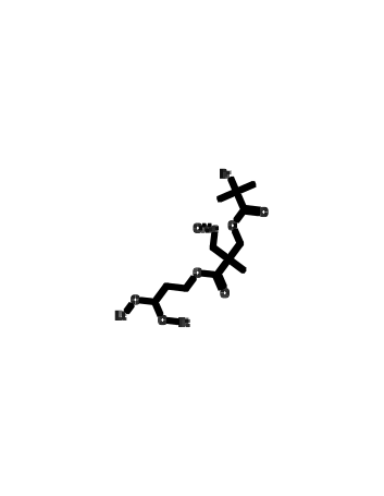 CCOC(CCOC(=O)C(C)(COC)COC(=O)C(C)(C)Br)OCC